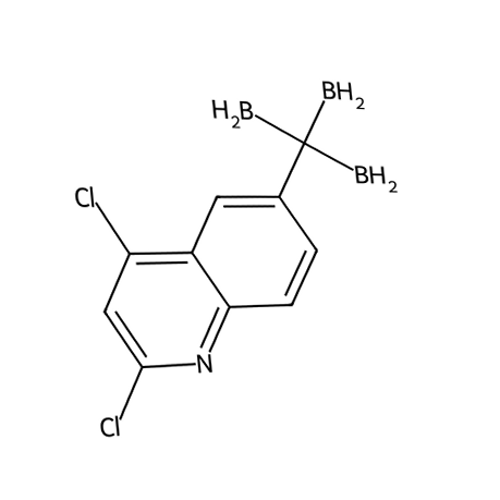 BC(B)(B)c1ccc2nc(Cl)cc(Cl)c2c1